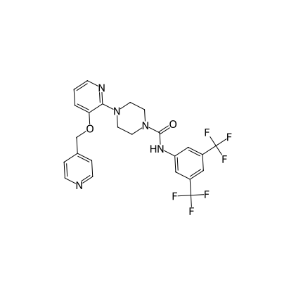 O=C(Nc1cc(C(F)(F)F)cc(C(F)(F)F)c1)N1CCN(c2ncccc2OCc2ccncc2)CC1